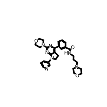 O=C(NCCCN1CCOCC1)c1cccc(-c2nc(N3CCOCC3)nc3c2CCN3c2cccnc2)c1